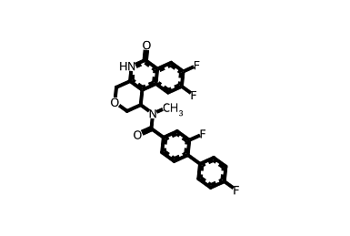 CN(C(=O)c1ccc(-c2ccc(F)cc2)c(F)c1)C1COCc2[nH]c(=O)c3cc(F)c(F)cc3c21